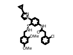 COc1ccc(CNSc2cc(NC(=O)Cc3ccccc3Cl)ccc2-n2ccc(C3CC3)n2)c(OC)c1